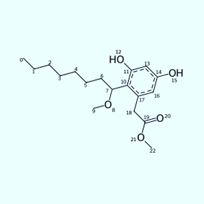 CCCCCCCC(OC)c1c(O)cc(O)cc1CC(=O)OC